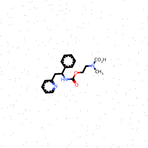 CN(CCOC(=O)NC(Cc1ccccn1)c1ccccc1)C(=O)O